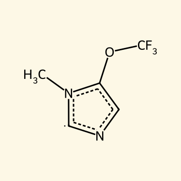 Cn1[c]ncc1OC(F)(F)F